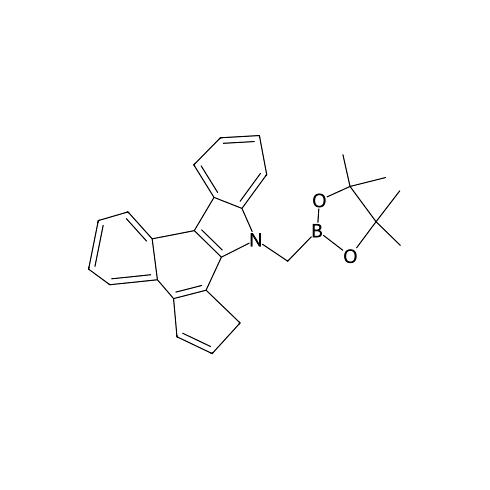 CC1(C)OB(Cn2c3ccccc3c3c4ccccc4c4c(c32)CC=C4)OC1(C)C